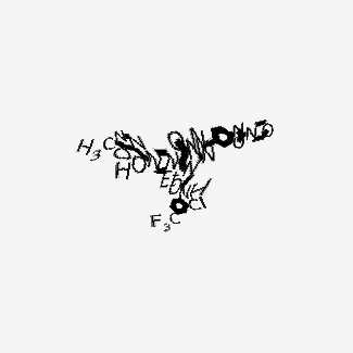 CCc1c(N2CCN(C(=O)c3ncnc(C)c3O)CC2)c(=O)n2nc(-c3ccc4nc(N5CCOCC5)oc4c3)nc2n1CC(=O)Nc1ccc(C(F)(F)F)cc1Cl